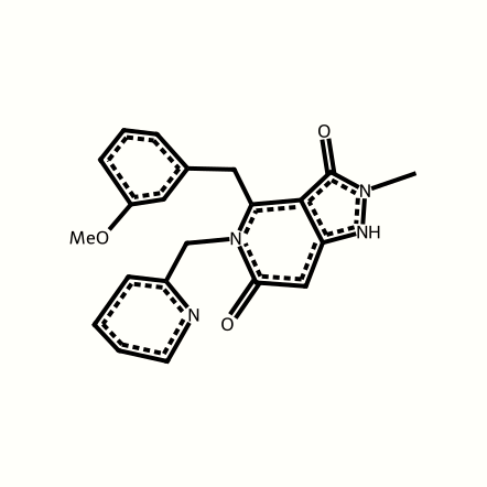 COc1cccc(Cc2c3c(=O)n(C)[nH]c3cc(=O)n2Cc2ccccn2)c1